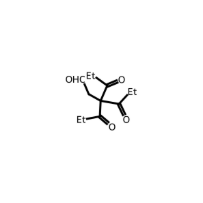 CCC(=O)C(CC=O)(C(=O)CC)C(=O)CC